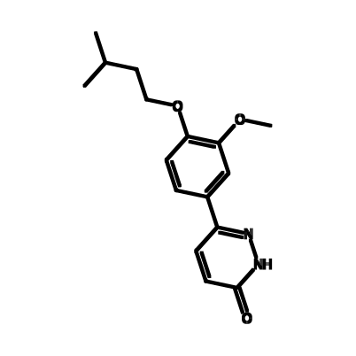 COc1cc(-c2ccc(=O)[nH]n2)ccc1OCCC(C)C